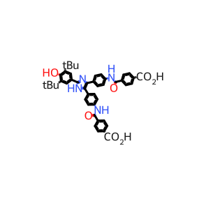 CC(C)(C)c1cc(-c2nc(-c3ccc(NC(=O)c4ccc(C(=O)O)cc4)cc3)c(-c3ccc(NC(=O)c4ccc(C(=O)O)cc4)cc3)[nH]2)cc(C(C)(C)C)c1O